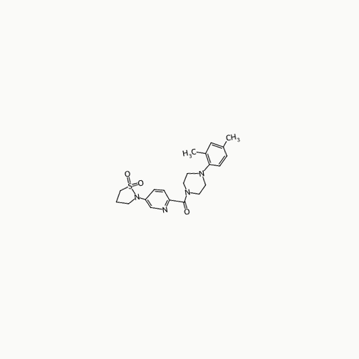 Cc1ccc(N2CCN(C(=O)c3ccc(N4CCCS4(=O)=O)cn3)CC2)c(C)c1